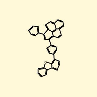 c1ccc(-c2cc(-c3ccc(-c4cccc5c4oc4ccccc45)cc3)c3ccc4cccc5ccc2c3c54)cc1